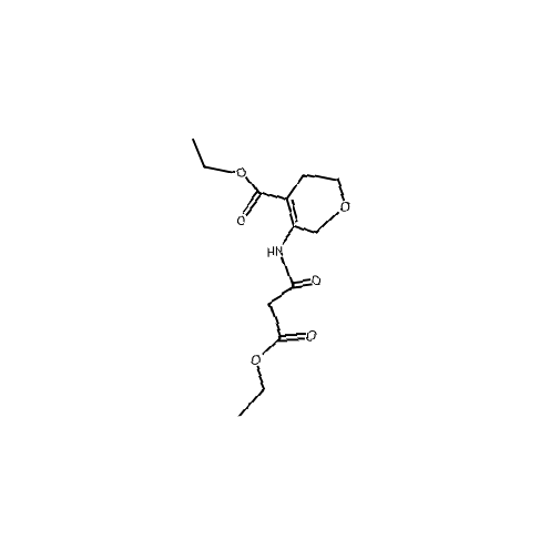 CCOC(=O)CC(=O)NC1=C(C(=O)OCC)CCOC1